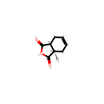 O=C1OC(=O)[C@@H]2CC=CCC12